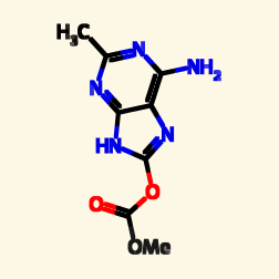 COC(=O)Oc1nc2c(N)nc(C)nc2[nH]1